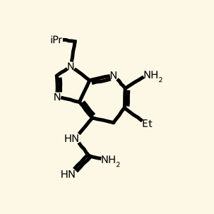 CCC1=C(N)N=c2c(ncn2CC(C)C)=C(NC(=N)N)C1